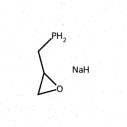 PCC1CO1.[NaH]